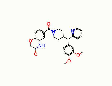 COc1ccc([C@@H](c2ccccn2)C2CCN(C(=O)c3ccc4c(c3)NC(=O)CO4)CC2)cc1OC